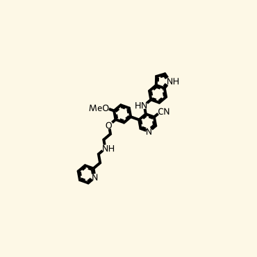 COc1ccc(-c2cncc(C#N)c2Nc2ccc3[nH]ccc3c2)cc1OCCNCCc1ccccn1